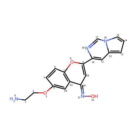 NCCOc1ccc2oc(-c3cc4cccn4cn3)cc(=NO)c2c1